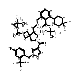 CC(C)(C)OC(=O)c1c(COCC2CN(C(=O)c3cnn(Cc4ccc(F)cc4C(F)(F)F)c3)CC23CN(C(=O)[C@H]2CC2(C)C)C3)cccc1C1CCC(F)(F)CC1